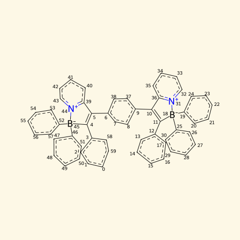 c1ccc(C2=C(c3ccc(C4=C(c5ccccc5)[B-](c5ccccc5)(c5ccccc5)[n+]5ccccc54)cc3)c3cccc[n+]3[B-]2(c2ccccc2)c2ccccc2)cc1